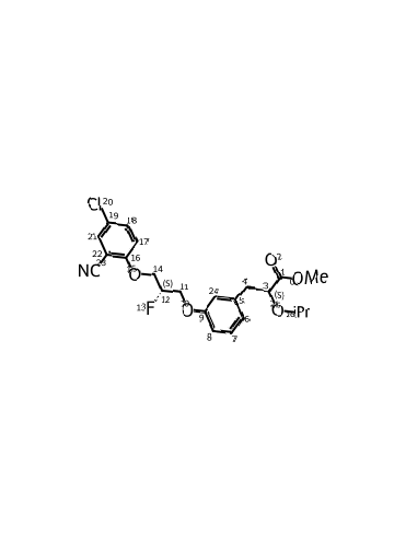 COC(=O)[C@H](Cc1cccc(OC[C@H](F)COc2ccc(Cl)cc2C#N)c1)OC(C)C